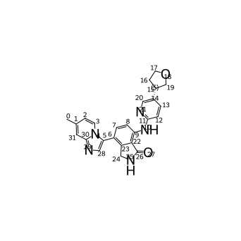 Cc1ccn2c(-c3ccc(Nc4ccc([C@@H]5CCOC5)cn4)c4c3CNC4=O)cnc2c1